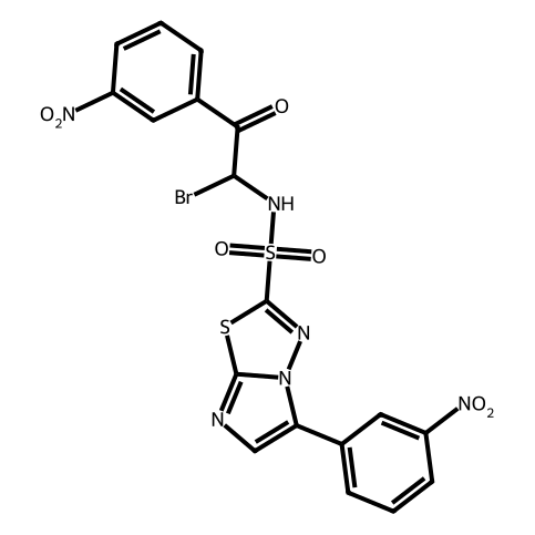 O=C(c1cccc([N+](=O)[O-])c1)C(Br)NS(=O)(=O)c1nn2c(-c3cccc([N+](=O)[O-])c3)cnc2s1